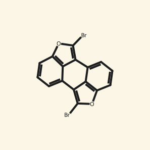 Brc1oc2cccc3c4c(Br)oc5cccc(c1c23)c54